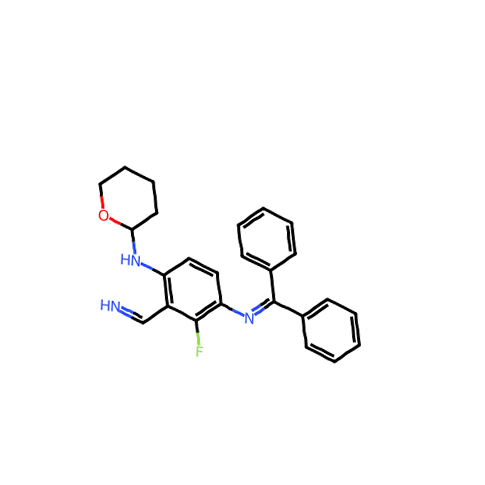 N=Cc1c(NC2CCCCO2)ccc(N=C(c2ccccc2)c2ccccc2)c1F